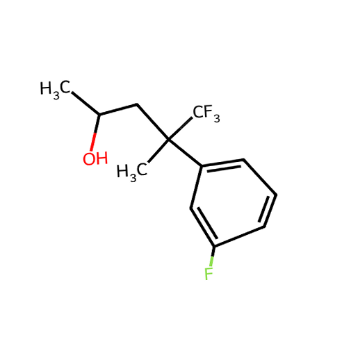 CC(O)CC(C)(c1cccc(F)c1)C(F)(F)F